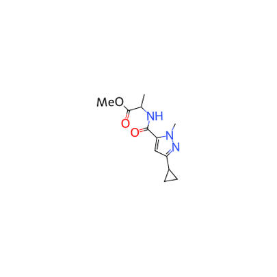 COC(=O)C(C)NC(=O)c1cc(C2CC2)nn1C